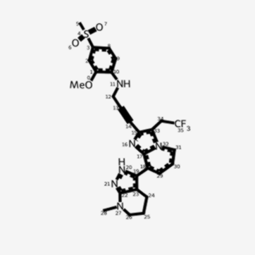 COc1cc(S(C)(=O)=O)ccc1NCC#Cc1nc2c(-c3[nH]nc4c3CCCN4C)cccn2c1CC(F)(F)F